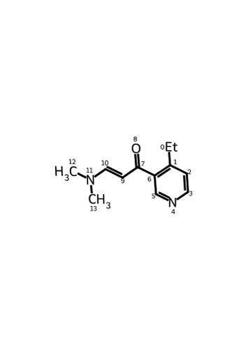 CCc1ccncc1C(=O)C=CN(C)C